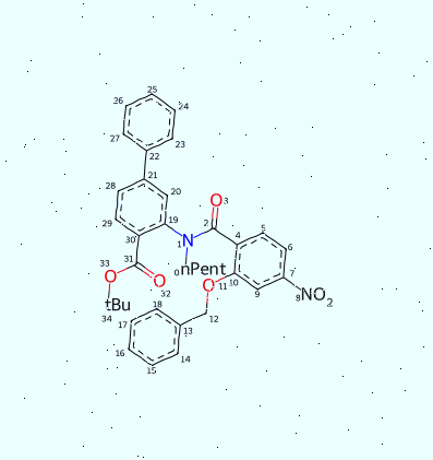 CCCCCN(C(=O)c1ccc([N+](=O)[O-])cc1OCc1ccccc1)c1cc(-c2ccccc2)ccc1C(=O)OC(C)(C)C